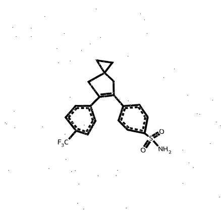 NS(=O)(=O)c1ccc(C2=C(c3ccc(C(F)(F)F)cc3)CC3(CC3)C2)cc1